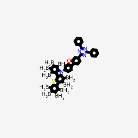 Bc1c(B)c(B)c2c(sc3c2c(B)c(B)c2c3c3c(B)c(B)c(B)c(B)c3n2-c2ccc3c(c2)oc2cc(-c4nc(-c5ccccc5)nc(-c5ccccc5)n4)ccc23)c1B